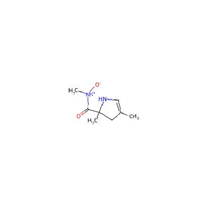 CC1=CNC(C)(C(=O)[NH+](C)[O-])C1